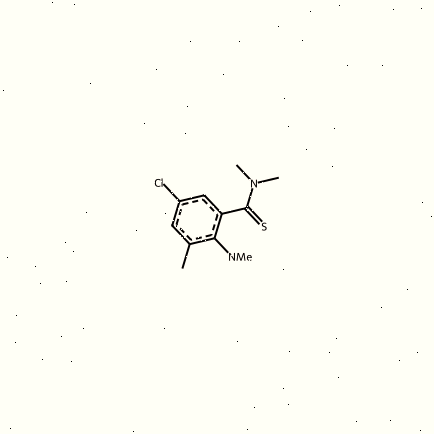 CNc1c(C)cc(Cl)cc1C(=S)N(C)C